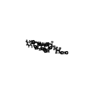 C=C/C=C\CC[C@H]1O[C@H]2CC[C@@]3(C)O[C@H]4[C@@H](O)C[C@@]5(C)O[C@@H](CC/C=C(C)/C(C)=C/C=O)[C@@H](C)C[C@@H]5O[C@@H]4C[C@@H]3O[C@@H]2CC[C@@]1(C)O